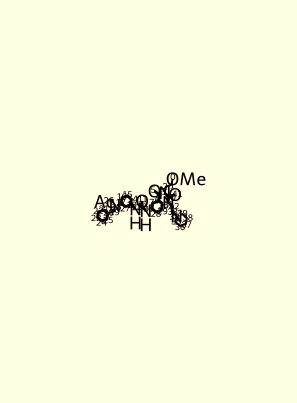 COCCn1c(=O)c2cc(NC(=O)Nc3cccc(N(Cc4ccccc4)C(C)=O)c3)ccc2n(CCN2CCCCC2)c1=O